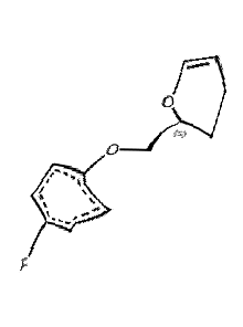 Fc1ccc(OC[C@@H]2CCC=CO2)cc1